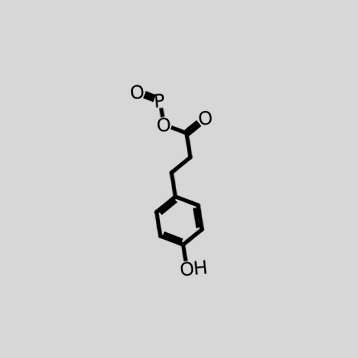 O=POC(=O)CCc1ccc(O)cc1